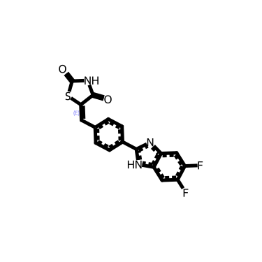 O=C1NC(=O)/C(=C\c2ccc(-c3nc4cc(F)c(F)cc4[nH]3)cc2)S1